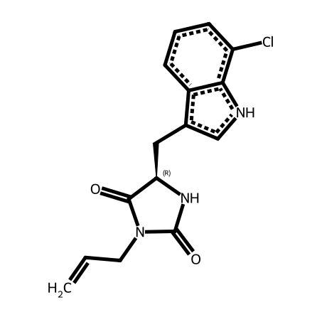 C=CCN1C(=O)N[C@H](Cc2c[nH]c3c(Cl)cccc23)C1=O